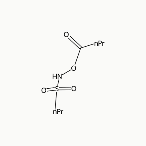 CCCC(=O)ONS(=O)(=O)CCC